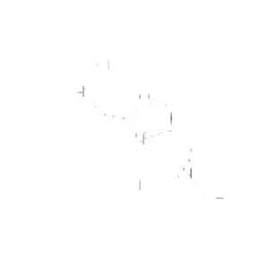 CN(C)Cc1coc(CN(C)C)n1